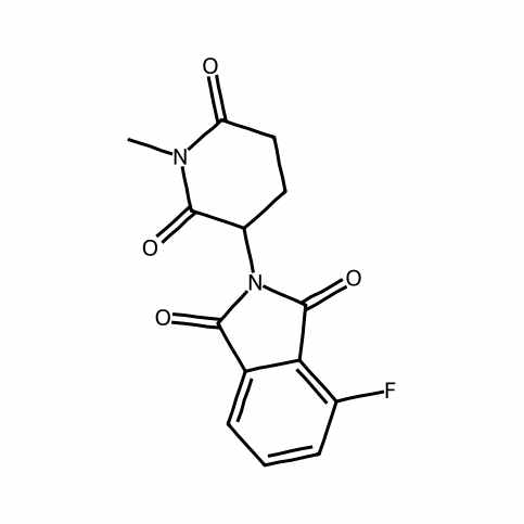 CN1C(=O)CCC(N2C(=O)c3cccc(F)c3C2=O)C1=O